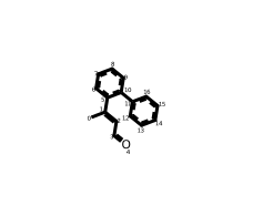 CC(=CC=O)c1ccccc1-c1ccccc1